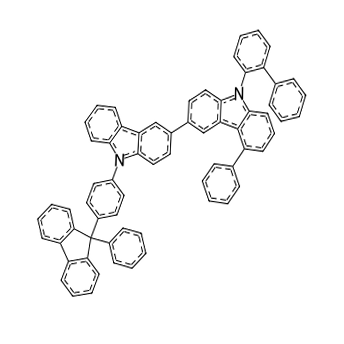 c1ccc(-c2ccccc2-n2c3ccc(-c4ccc5c(c4)c4ccccc4n5-c4ccc(C5(c6ccccc6)c6ccccc6-c6ccccc65)cc4)cc3c3c(-c4ccccc4)cccc32)cc1